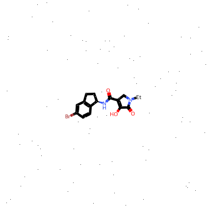 CCN1CC(C(=O)N[C@@H]2CCc3cc(Br)ccc32)=C(O)C1=O